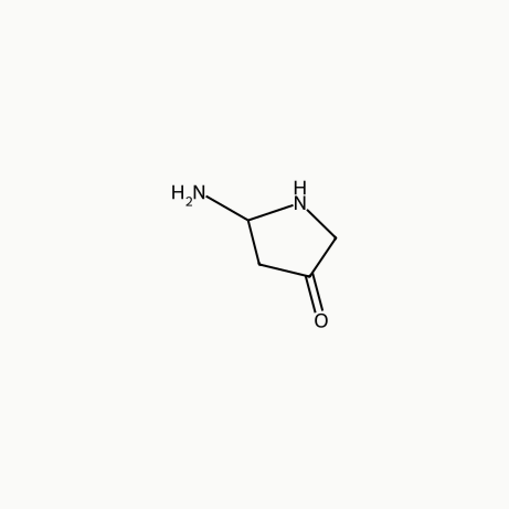 NC1CC(=O)CN1